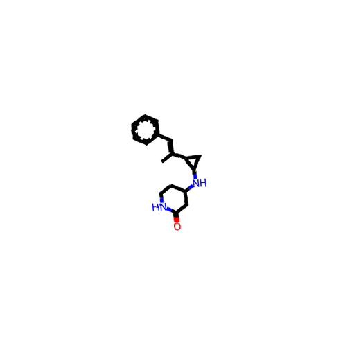 C/C(=C\c1ccccc1)C1CC1NC1CCNC(=O)C1